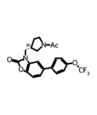 CC(=O)N1CC[C@@H](Cn2c(=O)oc3ccc(-c4ccc(OC(F)(F)F)cc4)cc32)C1